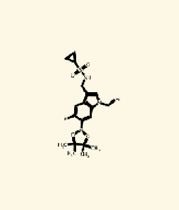 CC(C)Cn1cc(CNS(=O)(=O)C2CC2)c2cc(F)c(B3OC(C)(C)C(C)(C)O3)cc21